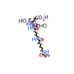 CC(C)C(=O)NCCCCCC(=O)NCCCC[C@H](NC(=O)N[C@@H](CCC(=O)O)C(=O)O)OC=O